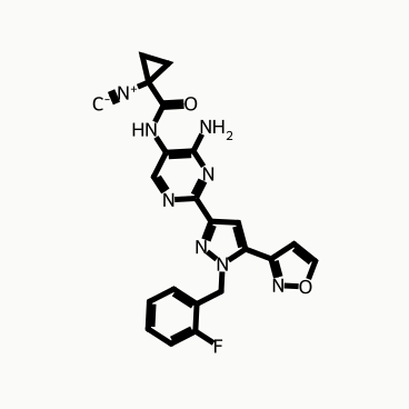 [C-]#[N+]C1(C(=O)Nc2cnc(-c3cc(-c4ccon4)n(Cc4ccccc4F)n3)nc2N)CC1